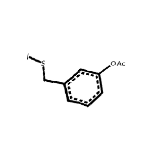 CC(=O)Oc1cccc(CSI)c1